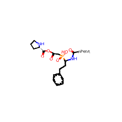 CCCCCC(=O)NC(CCc1ccccc1)P(=O)(O)CC(=O)OC(=O)[C@@H]1CCCN1